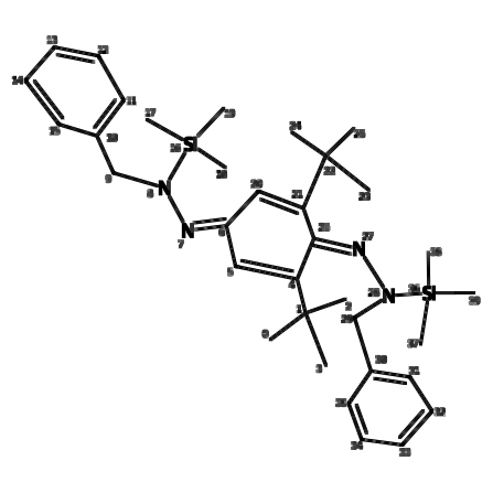 CC(C)(C)C1=CC(=NN(Cc2ccccc2)[Si](C)(C)C)C=C(C(C)(C)C)C1=NN(Cc1ccccc1)[Si](C)(C)C